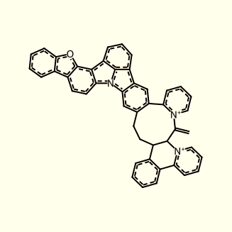 C=C1C2C(CCc3cc4c(cc3-c3cccc[n+]31)c1cccc3c5c6oc7ccccc7c6ccc5n4c13)c1ccccc1-c1cccc[n+]12